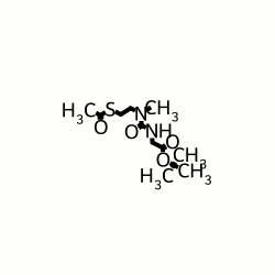 CC(=O)SCCN(C)C(=O)NCC(=O)OC(C)(C)C